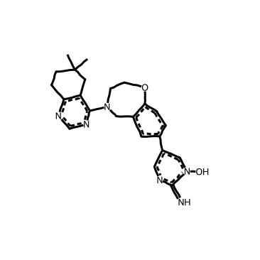 CC1(C)CCc2ncnc(N3CCOc4ccc(-c5cnc(=N)n(O)c5)cc4C3)c2C1